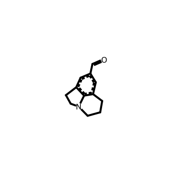 O=Cc1cc2c3c(c1)CCN3CCC2